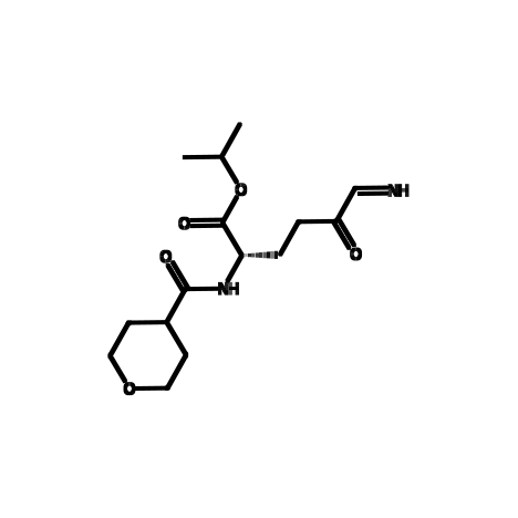 CC(C)OC(=O)[C@H](CCC(=O)C=N)NC(=O)C1CCOCC1